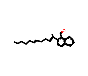 CCCCC/C=C/CCC=C(C)c1ccc2ccccc2c1C=O